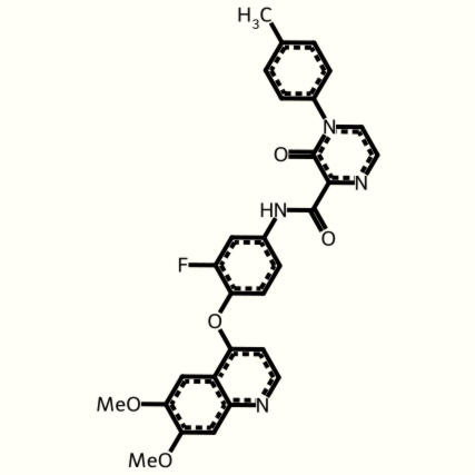 COc1cc2nccc(Oc3ccc(NC(=O)c4nccn(-c5ccc(C)cc5)c4=O)cc3F)c2cc1OC